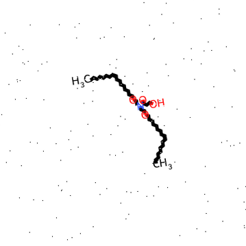 CCCCCCCC/C=C\CCCCCCCCOCCN(CCOCCCCCCCC/C=C\CCCCCCCC)C(=O)CCO